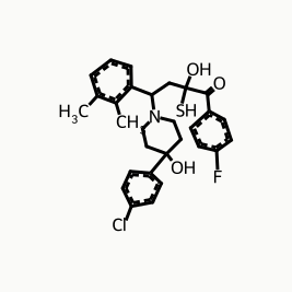 Cc1cccc(C(CC(O)(S)C(=O)c2ccc(F)cc2)N2CCC(O)(c3ccc(Cl)cc3)CC2)c1C